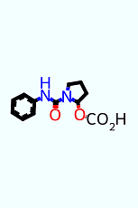 O=C(O)OC1CCCN1C(=O)Nc1ccccc1